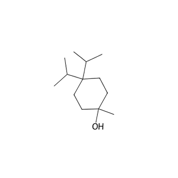 CC(C)C1(C(C)C)CCC(C)(O)CC1